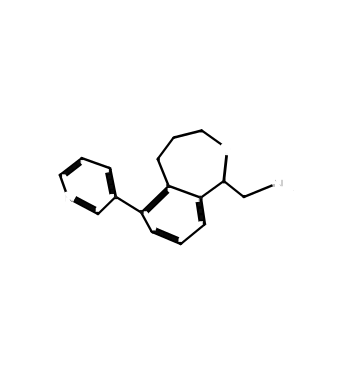 NCC1OCCCc2c(-c3cccnc3)cccc21